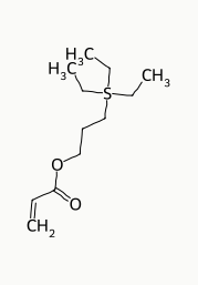 C=CC(=O)OCCCS(CC)(CC)CC